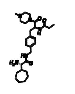 CCC(=O)NC(Cc1ccc(CNC(=O)[C@@H](N)C2CCCCCC2)cc1)C(=O)N1CCN(C)CC1